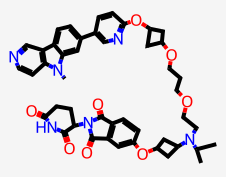 CC(C)N(CCOCCCOC1CC(Oc2ccc(-c3ccc4c5cnccc5n(C)c4c3)cn2)C1)C1CC(Oc2ccc3c(c2)C(=O)N(C2CCC(=O)NC2=O)C3=O)C1